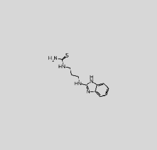 NC(=S)NCCCNc1nc2ccccc2[nH]1